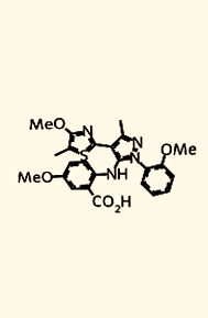 COc1ccc(Nc2c(-c3nc(OC)c(C)s3)c(C)nn2-c2ccccc2OC)c(C(=O)O)c1